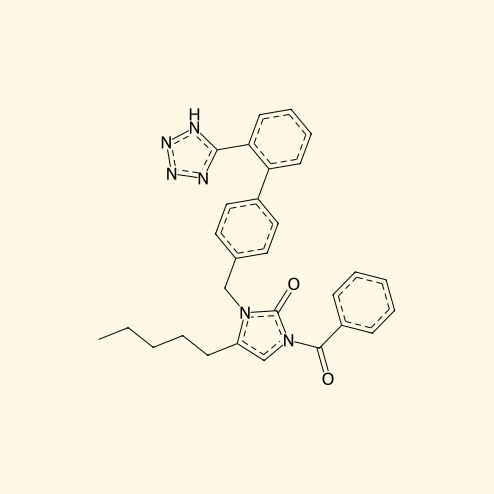 CCCCCc1cn(C(=O)c2ccccc2)c(=O)n1Cc1ccc(-c2ccccc2-c2nnn[nH]2)cc1